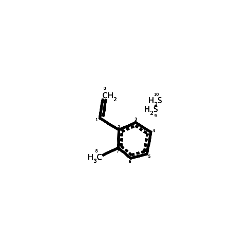 C=Cc1ccccc1C.S.S